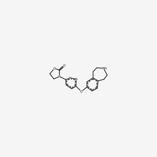 O=C1OCCN1c1ccc(Oc2ccc3c(c2)CCNCC3)nn1